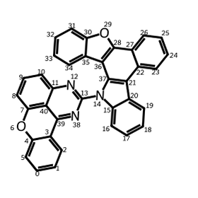 c1ccc2c(c1)Oc1cccc3nc(-n4c5ccccc5c5c6ccccc6c6oc7ccccc7c6c54)nc-2c13